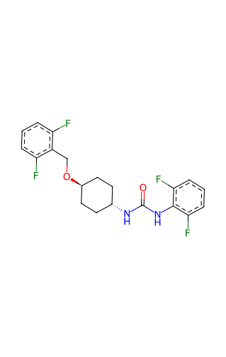 O=C(Nc1c(F)cccc1F)N[C@H]1CC[C@H](OCc2c(F)cccc2F)CC1